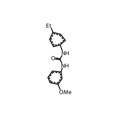 CCc1ccc(NC(=O)Nc2cccc(OC)c2)cc1